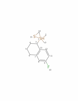 C[SH]1(C)(C2CCCc3cc(F)ccc32)CS1